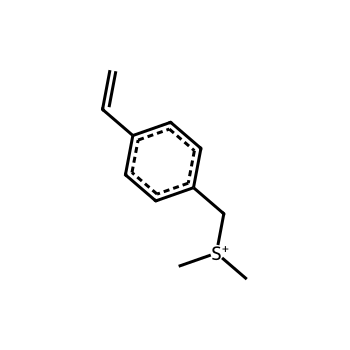 C=Cc1ccc(C[S+](C)C)cc1